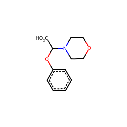 O=C(O)C(Oc1ccccc1)N1CCOCC1